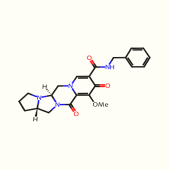 COc1c2n(cc(C(=O)NCc3ccccc3)c1=O)C[C@H]1N(C[C@@H]3CCCN31)C2=O